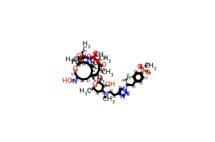 CC[C@H]1OC(=O)[C@H](C)C(=O)[C@H](C)[C@@H](O[C@@H]2O[C@H](C)C[C@H](N(C)CCc3cn([C@H](CF)Cc4ccc(S(C)(=O)=O)cc4)nn3)[C@H]2O)[C@]2(C)CC/C(=N/O)CO[C@H]([C@@H](C)/C(=N/C(C)=O)[C@H](C)C2)[C@]1(C)O